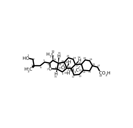 C=C(CO)CCC1O[C@H]2C[C@H]3[C@@H]4CCC5CC(CC(=O)O)CC[C@]5(C)[C@H]4CC[C@]3(C)[C@H]2[C@@H]1C